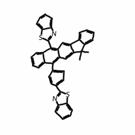 CC1(C)c2ccccc2-c2cc3c(-c4nc5ccccc5s4)c4ccccc4c(-c4ccc(-c5nc6ccccc6s5)cc4)c3cc21